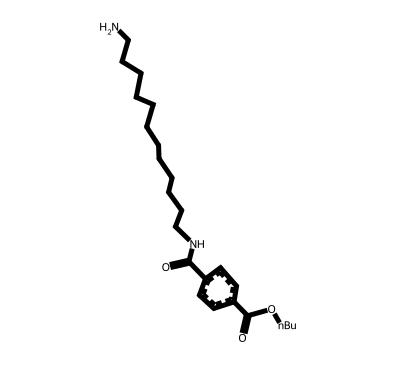 CCCCOC(=O)c1ccc(C(=O)NCCCCCCCCCCCCN)cc1